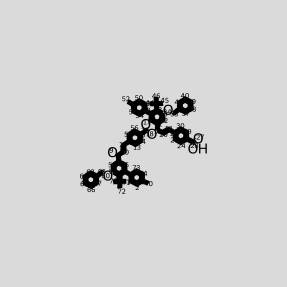 Cc1ccc(-c2cc(C(=O)/C=C/c3ccc(C(=O)OC(/C=C/c4ccc(C(=O)O)cc4)c4cc(OCc5ccccc5)c(C(C)(C)C)c(-c5ccc(C)cc5)c4)cc3)cc(OCc3ccccc3)c2C(C)(C)C)cc1